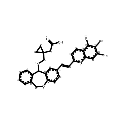 O=C(O)CC1(CSC2c3ccccc3COc3ccc(C=Cc4ccc5c(F)c(F)c(F)cc5n4)cc32)CC1